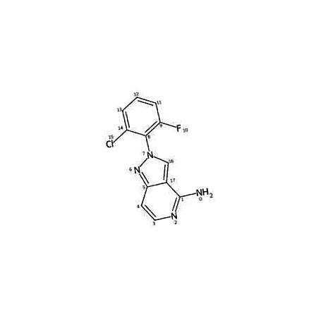 Nc1nccc2nn(-c3c(F)cccc3Cl)cc12